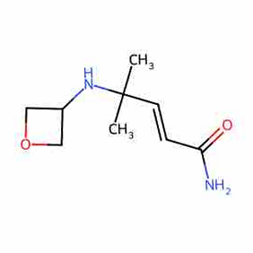 CC(C)(C=CC(N)=O)NC1COC1